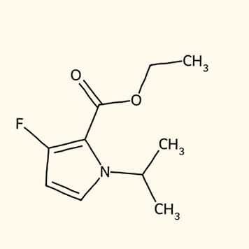 CCOC(=O)c1c(F)ccn1C(C)C